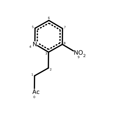 CC(=O)CCc1ncccc1[N+](=O)[O-]